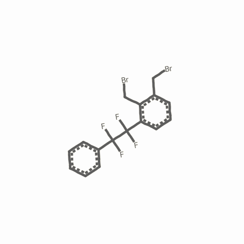 FC(F)(c1ccccc1)C(F)(F)c1cccc(CBr)c1CBr